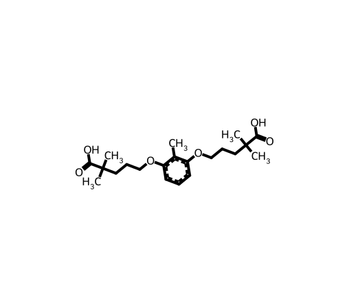 Cc1c(OCCCC(C)(C)C(=O)O)cccc1OCCCC(C)(C)C(=O)O